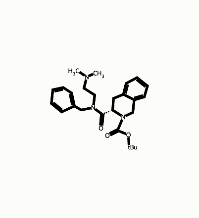 CN(C)CCN(Cc1ccccc1)C(=O)[C@@H]1Cc2ccccc2CN1C(=O)OC(C)(C)C